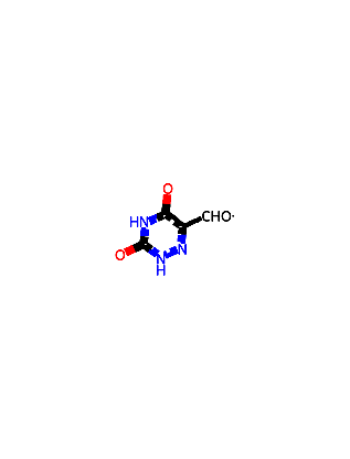 O=[C]c1n[nH]c(=O)[nH]c1=O